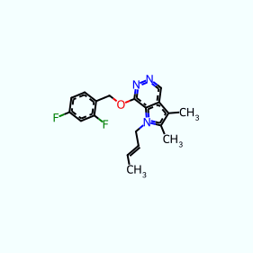 CC=CCn1c(C)c(C)c2cnnc(OCc3ccc(F)cc3F)c21